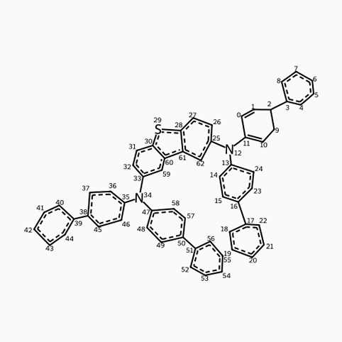 C1=CC(c2ccccc2)CC=C1N(c1ccc(-c2ccccc2)cc1)c1ccc2sc3ccc(N(c4ccc(-c5ccccc5)cc4)c4ccc(-c5ccccc5)cc4)cc3c2c1